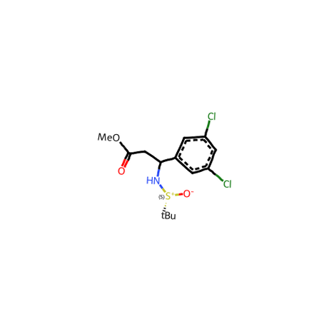 COC(=O)CC(N[S@+]([O-])C(C)(C)C)c1cc(Cl)cc(Cl)c1